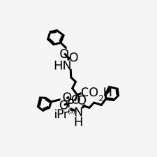 CC(C)[C@@H](NC(=O)CCCc1ccccc1)P(=O)(OCc1ccccc1)OC(CCCCNC(=O)OCc1ccccc1)C(=O)O